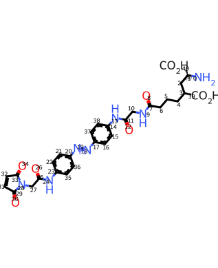 N[C@@H](CC(CCCC(=O)NCC(=O)Nc1ccc(/N=N/c2ccc(NC(=O)CN3C(=O)C=CC3=O)cc2)cc1)C(=O)O)C(=O)O